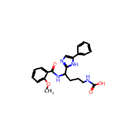 COc1ccccc1C(=O)NC(CCCNC(=O)O)c1ncc(-c2ccccc2)[nH]1